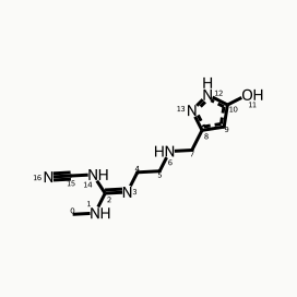 CN/C(=N/CCNCc1cc(O)[nH]n1)NC#N